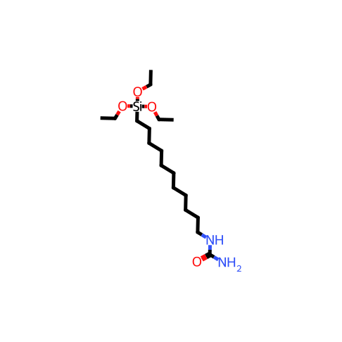 CCO[Si](CCCCCCCCCCCNC(N)=O)(OCC)OCC